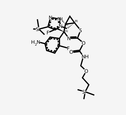 C[Si](C)(C)CCOCNC(=O)OC1=N[C@](CF)(c2cc(N)ccc2F)[C@H]2C[C@@]2(Cn2cc([Si](C)(C)C)nn2)S1